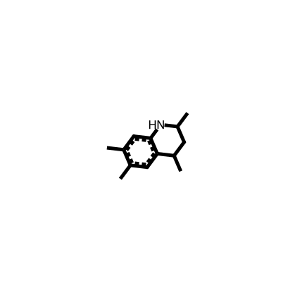 Cc1cc2c(cc1C)C(C)CC(C)N2